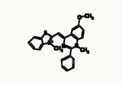 COc1ccc2c(c1)/C(=C/c1sc3ccccc3[n+]1C)N=C(c1ccccc1)N2C